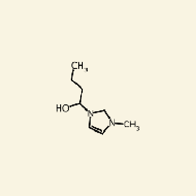 CCCC(O)N1C=CN(C)C1